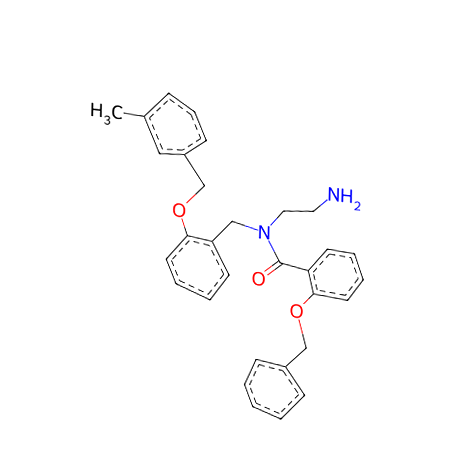 Cc1cccc(COc2ccccc2CN(CCN)C(=O)c2ccccc2OCc2ccccc2)c1